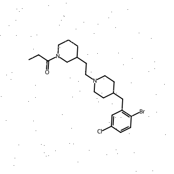 CCC(=O)N1CCCC(CCN2CCC(Cc3cc(Cl)ccc3Br)CC2)C1